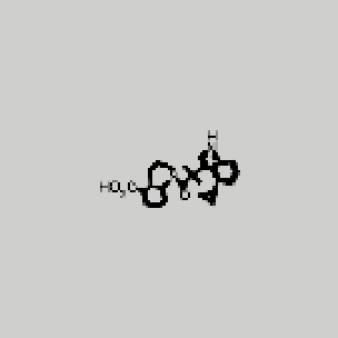 CC(C)(C(=O)N1CCCC2C(C(=O)O)CCCC21)c1c[nH]c2cccc(C3CC3)c12